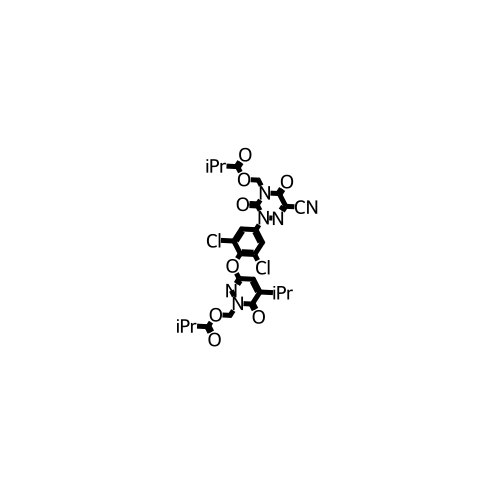 CC(C)C(=O)OCn1nc(Oc2c(Cl)cc(-n3nc(C#N)c(=O)n(COC(=O)C(C)C)c3=O)cc2Cl)cc(C(C)C)c1=O